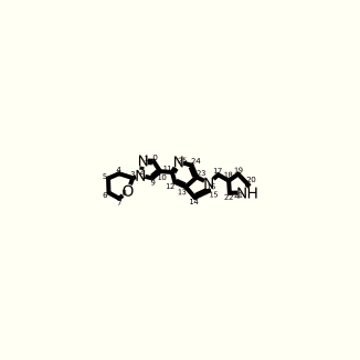 c1nn(C2CCCCO2)cc1-c1cc2ccn(CC3CCNC3)c2cn1